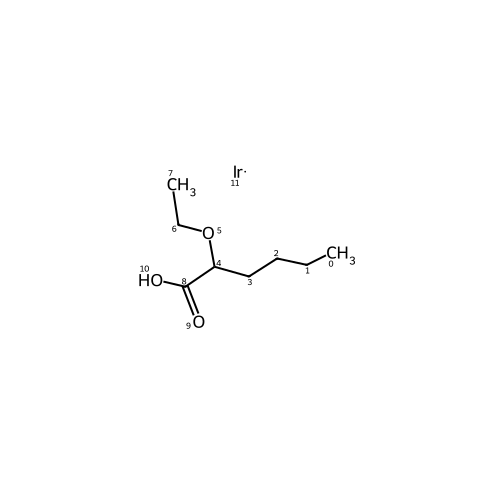 CCCCC(OCC)C(=O)O.[Ir]